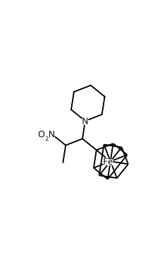 CC(C(N1CCCCC1)[C]12[CH]3[CH]4[CH]5[CH]1[Fe]45321678[CH]2[CH]1[CH]6[CH]7[CH]28)[N+](=O)[O-]